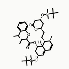 CCC(Oc1ccccc1C(C)C)C(=O)O[C@H]1C[C@H](O[Si](C)(C)C(C)(C)C)C=C2C=C[C@H](C)[C@H](CC[C@@H]3C[C@@H](O[Si](C)(C)C(C)(C)C)CC(=O)O3)[C@H]21